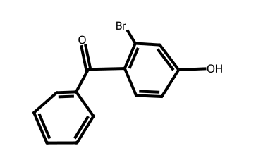 O=C(c1ccccc1)c1ccc(O)cc1Br